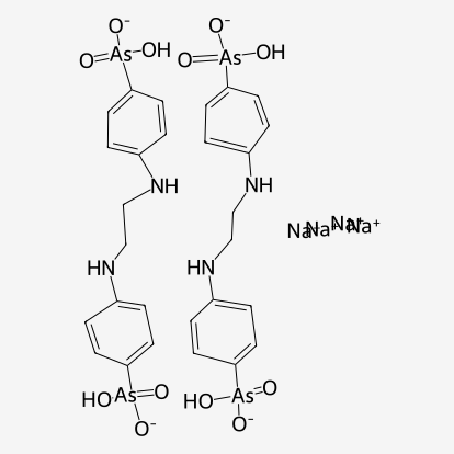 O=[As]([O-])(O)c1ccc(NCCNc2ccc([As](=O)([O-])O)cc2)cc1.O=[As]([O-])(O)c1ccc(NCCNc2ccc([As](=O)([O-])O)cc2)cc1.[Na+].[Na+].[Na+].[Na+]